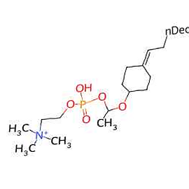 CCCCCCCCCCCC=C1CCC(OC(C)OP(=O)(O)OCC[N+](C)(C)C)CC1